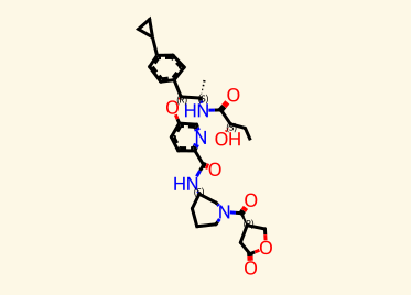 CC[C@H](O)C(=O)N[C@@H](C)[C@H](Oc1ccc(C(=O)N[C@H]2CCCN(C(=O)[C@H]3COC(=O)C3)C2)nc1)c1ccc(C2CC2)cc1